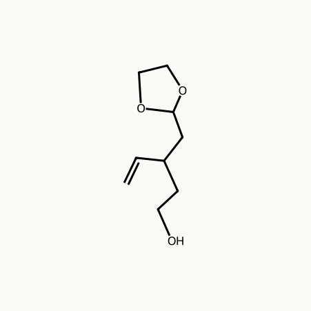 C=CC(CCO)CC1OCCO1